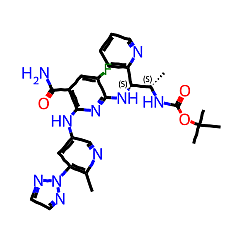 Cc1ncc(Nc2nc(N[C@H](c3ccccn3)[C@H](C)NC(=O)OC(C)(C)C)c(F)cc2C(N)=O)cc1-n1nccn1